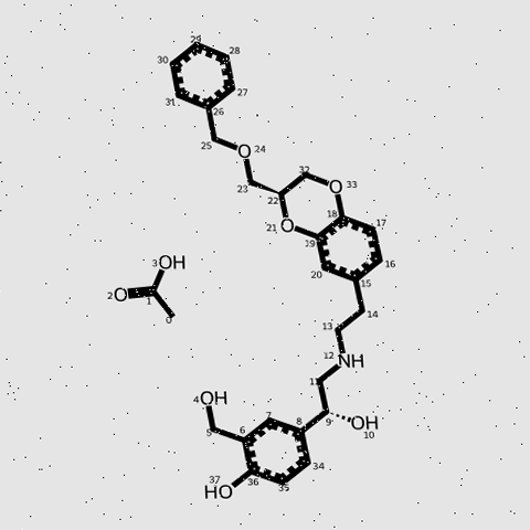 CC(=O)O.OCc1cc([C@@H](O)CNCCc2ccc3c(c2)O[C@@H](COCc2ccccc2)CO3)ccc1O